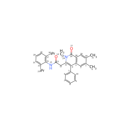 Cc1cc2c(-c3ccccc3)c(CC(=O)Nc3c(C(C)C)cccc3C(C)C)n(C)c(=O)c2cc1C